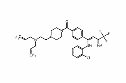 C=CCN(CC=C)CCN1CCN(C(=O)c2ccc(/C(=C/C(=N)C(F)(F)F)Nc3ccccc3Cl)cc2)CC1